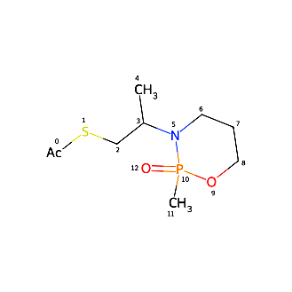 CC(=O)SCC(C)N1CCCOP1(C)=O